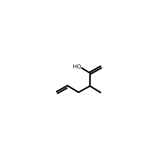 C=CCC(C)C(=C)O